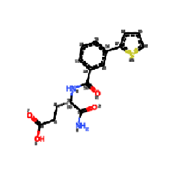 NC(=O)[C@H](CCC(=O)O)NC(=O)c1cccc(-c2cccs2)c1